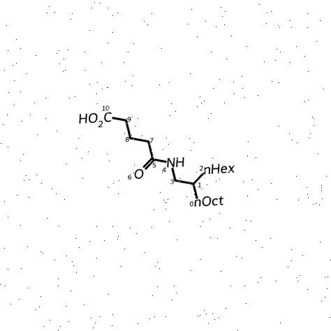 CCCCCCCCC(CCCCCC)CNC(=O)CCCC(=O)O